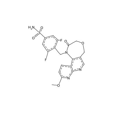 COc1ccc2c3c(cnc2n1)COCC(=O)N3Cc1c(F)cc(S(N)(=O)=O)cc1F